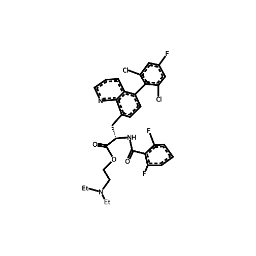 CCN(CC)CCOC(=O)[C@H](Cc1ccc(-c2c(Cl)cc(F)cc2Cl)c2cccnc12)NC(=O)c1c(F)cccc1F